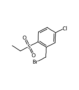 CCS(=O)(=O)c1ccc(Cl)cc1CBr